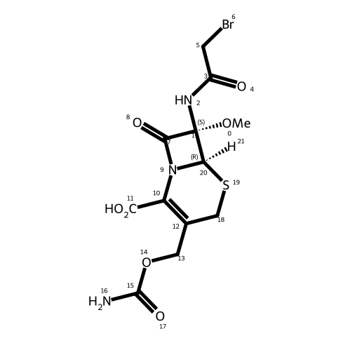 CO[C@@]1(NC(=O)CBr)C(=O)N2C(C(=O)O)=C(COC(N)=O)CS[C@@H]21